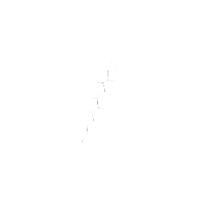 O=S(=O)(O)CC(F)C(F)C(F)C(F)C(F)C(F)CCCCF